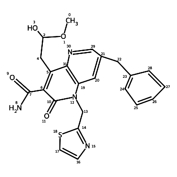 COC(O)Cc1c(C(N)=O)c(=O)n(Cc2nccs2)c2cc(Cc3ccccc3)cnc12